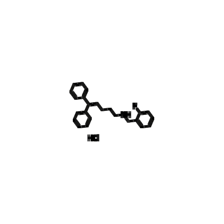 Cl.Fc1ccccc1CNCCCC=C(c1ccccc1)c1ccccc1